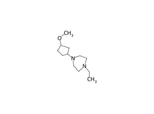 CCN1CCN(C2CCC(OC)C2)CC1